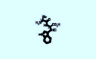 CCC(C)[C@H](N)C(=O)N[C@H](Cc1cn(C)c2ccccc12)C(=O)O.Cl